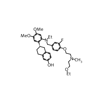 CCOCCN(C)CCOc1ccc(CN(CC)c2cc(OC)c(OC)cc2[C@@H]2CCc3cc(O)ccc3C2)cc1F